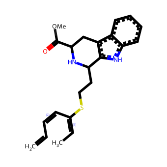 C=C/C=C\C(=C/C)SCCC1NC(C(=O)OC)Cc2c1[nH]c1ccccc21